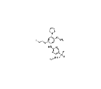 CNc1nc(Nc2cc(OC)c(N3CCCC3)cc2OCCF)ncc1C(F)(F)F